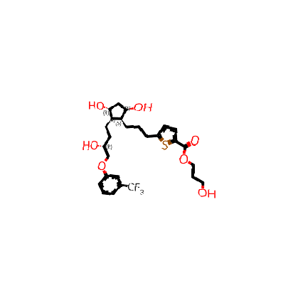 O=C(OCCCO)c1ccc(CCC[C@H]2[C@@H](CC[C@@H](O)COc3cccc(C(F)(F)F)c3)[C@H](O)C[C@H]2O)s1